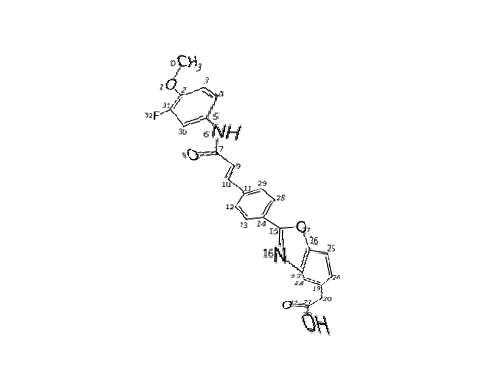 COc1ccc(NC(=O)C=Cc2ccc(-c3nc4cc(CC(=O)O)ccc4o3)cc2)cc1F